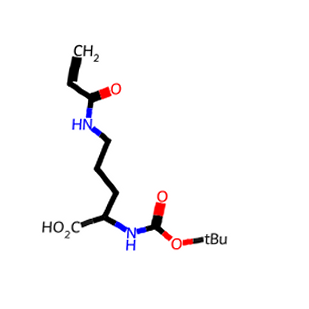 C=CC(=O)NCCCC(NC(=O)OC(C)(C)C)C(=O)O